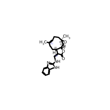 C/C1=C\CC[C@@]2(C)O[C@H]2[C@H]2OC(=O)/C(=C\Nc3nc4ccccc4[nH]3)[C@@H]2CC1